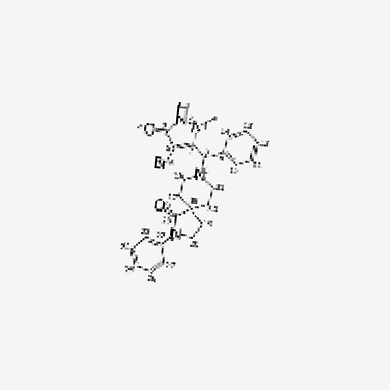 Cn1[nH]c(=O)c(Br)c1C(c1ccccc1)N1CCC2(CCN(c3ccccc3)C2=O)CC1